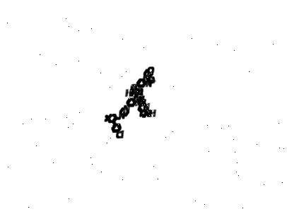 C[N+](=O)c1cc(S(=O)(=O)NC(=O)c2ccc(N3CCN(CC4=C(c5ccc(Cl)cc5)CC(C)(C)CC4)CC3)cc2-n2ncc3nc4[nH]ccc4cc32)ccc1N1CCOCC1